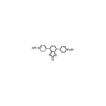 CCC[N+]1=CC=C(c2ccc(-c3cc[n+](CCC)cc3)c3n[nH]nc23)CC1